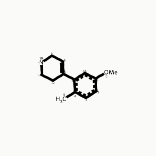 COc1ccc(C)c(C2=CC[N]CC2)c1